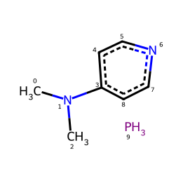 CN(C)c1ccncc1.P